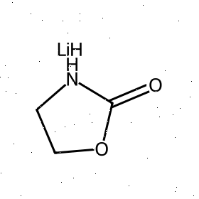 O=C1NCCO1.[LiH]